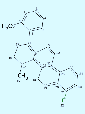 Cc1ccccc1C1=c2ccc3c(c2C(C)CC1)CC=c1c(Cl)cccc1=3